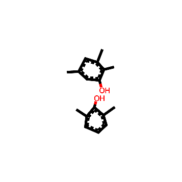 Cc1cc(C)c(C)c(O)c1.Cc1cccc(C)c1O